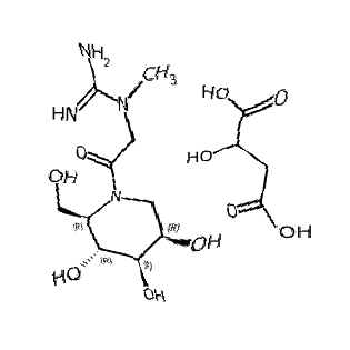 CN(CC(=O)N1C[C@@H](O)[C@@H](O)[C@H](O)[C@H]1CO)C(=N)N.O=C(O)CC(O)C(=O)O